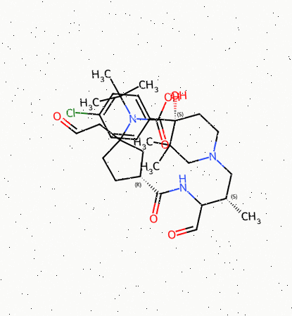 C[C@@H](CN1CC[C@](O)(c2ccc(Cl)cc2)C(C)(C)C1)C(C=O)NC(=O)[C@@H]1CCC(CC=O)(N(C(=O)O)C(C)(C)C)C1